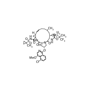 COc1cnc(O[C@@H]2C[C@H]3C(=O)N[C@]4(C(=O)NS(=O)(=O)C5(C)CC5)C[C@H]4/C=C\CC[C@@H](C)C[C@@H](C)[C@H](NC(=O)OC(C)(C)C(F)(F)F)C(=O)N3C2)c2cccc(Cl)c12